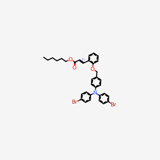 CCCCCCOC(=O)/C=C/c1ccccc1OCc1ccc(N(c2ccc(Br)cc2)c2ccc(Br)cc2)cc1